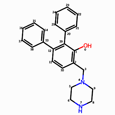 Oc1c(CN2CCNCC2)ccc(-c2ccccc2)c1-c1ccccc1